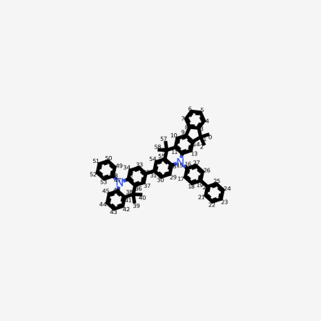 CC1(C)c2ccccc2-c2cc3c(cc21)N(c1ccc(-c2ccccc2)cc1)c1ccc(-c2ccc4c(c2)C(C)(C)c2ccccc2N4c2ccccc2)cc1C3(C)C